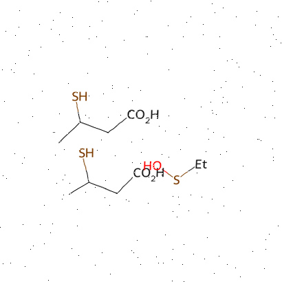 CC(S)CC(=O)O.CC(S)CC(=O)O.CCSO